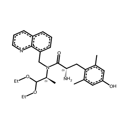 CCOC(OCC)[C@H](C)N(Cc1cccc2cccnc12)C(=O)[C@@H](N)Cc1c(C)cc(O)cc1C